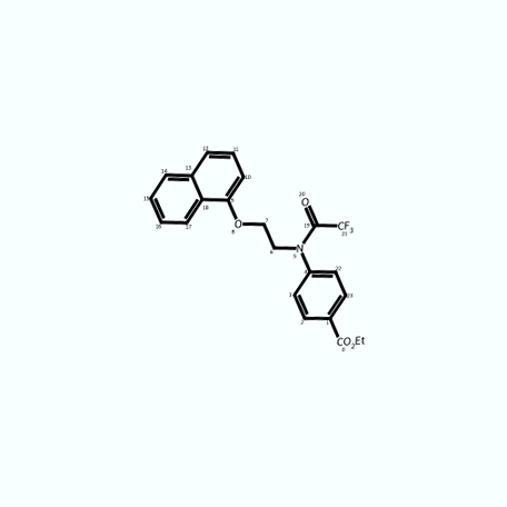 CCOC(=O)c1ccc(N(CCOc2cccc3ccccc23)C(=O)C(F)(F)F)cc1